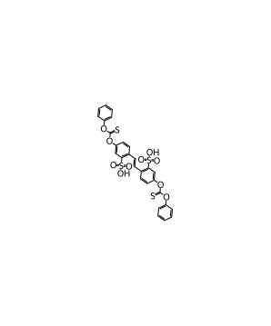 O=S(=O)(O)c1cc(OC(=S)Oc2ccccc2)ccc1C=Cc1ccc(OC(=S)Oc2ccccc2)cc1S(=O)(=O)O